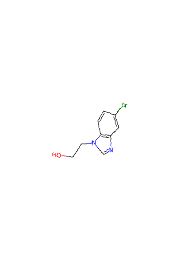 OCCn1cnc2cc(Br)ccc21